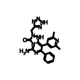 Cc1cc(-c2c(-c3ccccc3)nc(N)[n+]3c(=O)n(Cc4nn[nH]n4)[nH]c23)cc(C)n1